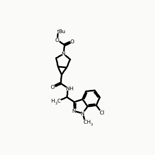 CC(NC(=O)C1C2CN(C(=O)OC(C)(C)C)CC21)c1nn(C)c2c(Cl)cccc12